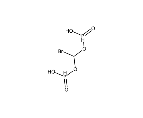 O=[PH](O)OC(Br)O[PH](=O)O